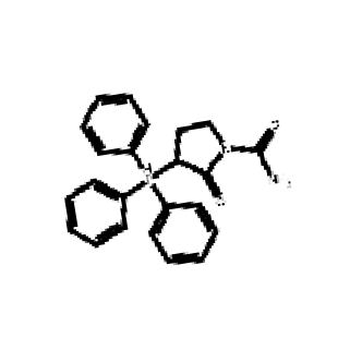 NC(=O)N1CCC([PH](c2ccccc2)(c2ccccc2)c2ccccc2)C1=O